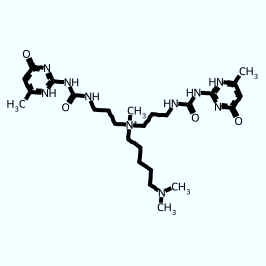 Cc1cc(=O)nc(NC(=O)NCCC[N+](C)(CCCCCN(C)C)CCCNC(=O)Nc2nc(=O)cc(C)[nH]2)[nH]1